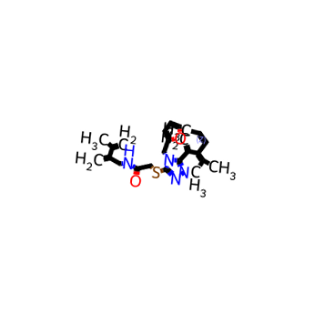 C=C(C)C(=C)CNC(=O)CSc1nnc(C(=C)C(/C=C\C)=C(C)C)n1Cc1ccco1